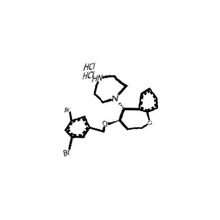 Brc1cc(Br)cc(CO[C@@H]2CCOc3ccccc3[C@H]2N2CCNCC2)c1.Cl.Cl